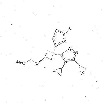 COCO[C@H]1C[C@@](c2ccc(Cl)s2)(c2nnc(C3CC3)n2C2CC2)C1